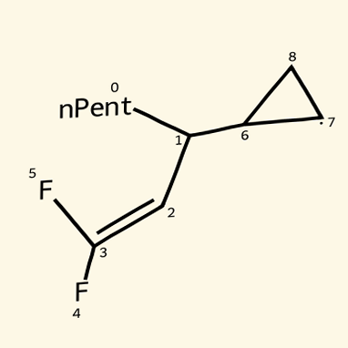 CCCCCC(C=C(F)F)C1[CH]C1